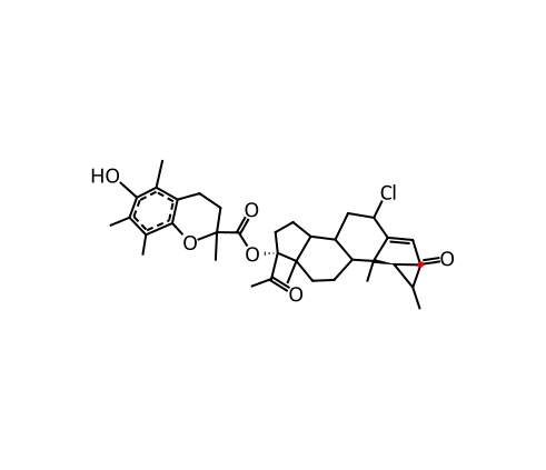 CC(=O)[C@@]1(OC(=O)C2(C)CCc3c(C)c(O)c(C)c(C)c3O2)CCC2C3CC(Cl)/C(=C/C=O)C(C)([C@H]4CC4C)C3CCC21C